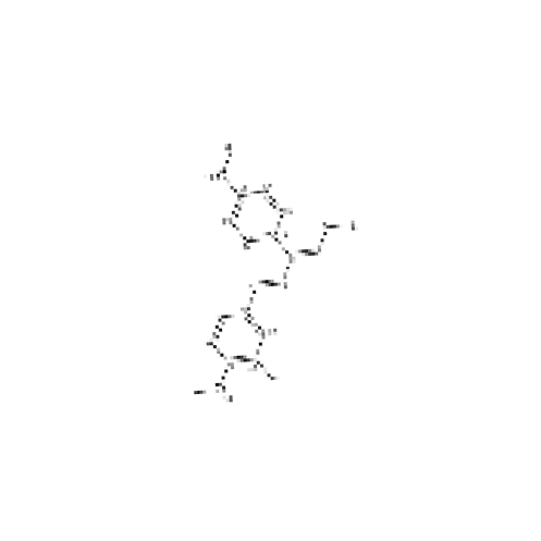 CCC=C(C=Cc1ccc(OC)c(C)c1)c1ccc(OC)cc1